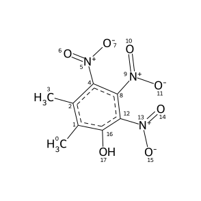 Cc1c(C)c([N+](=O)[O-])c([N+](=O)[O-])c([N+](=O)[O-])c1O